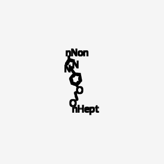 CCCCCCCCCc1cnc(-c2ccc(OCCOCCCCCCC)cc2)nc1